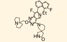 CCc1c(F)ccc2cccc(-c3ncc4c(N5CCCC6(CNC(=O)C6)C5)nc(OCC56CCCN5CCC6)nc4c3F)c12